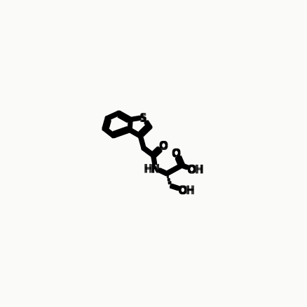 O=C(Cc1csc2ccccc12)N[C@@H](CO)C(=O)O